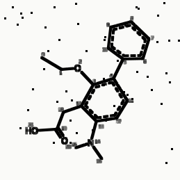 CCOc1c(-c2ccccc2)ccc(N(C)C)c1CC(=O)O